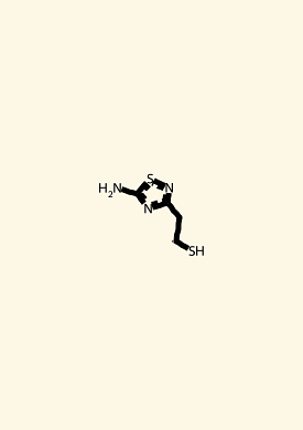 Nc1nc(C[CH]S)ns1